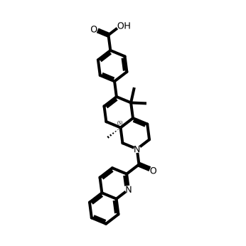 CC1(C)C(c2ccc(C(=O)O)cc2)=CC[C@]2(C)CN(C(=O)c3ccc4ccccc4n3)CC=C12